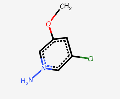 COc1cc(Cl)c[n+](N)c1